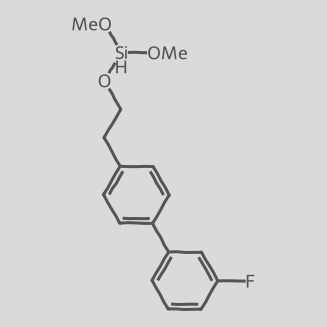 CO[SiH](OC)OCCc1ccc(-c2cccc(F)c2)cc1